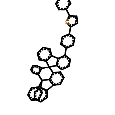 c1ccc(-c2ccc(-c3ccc(-c4cccc5c4-c4ccccc4C54c5ccccc5C5(c6ccccc6)c6ccccc6-c6cccc4c65)cc3)s2)cc1